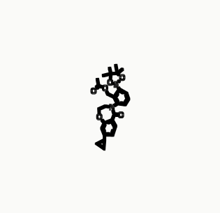 CC(=O)OCc1c(B2OC(C)(C)C(C)(C)O2)cccc1N1CCOc2cc(C3CC3)ccc2C1=O